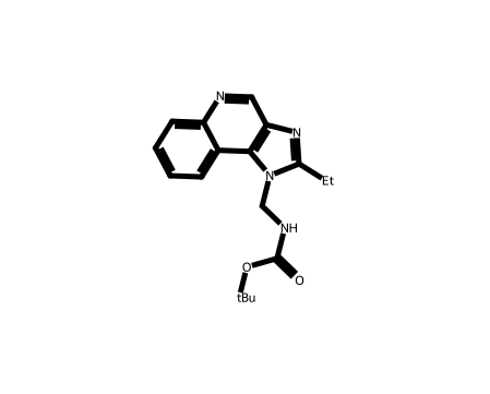 CCc1nc2cnc3ccccc3c2n1CNC(=O)OC(C)(C)C